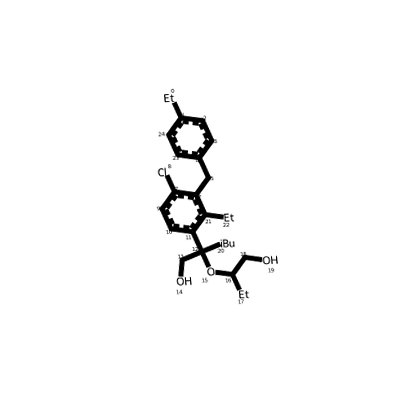 CCc1ccc(Cc2c(Cl)ccc(C(CO)(OC(CC)CO)C(C)CC)c2CC)cc1